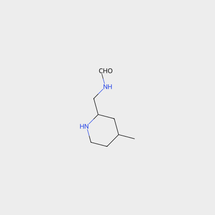 CC1CCNC(CNC=O)C1